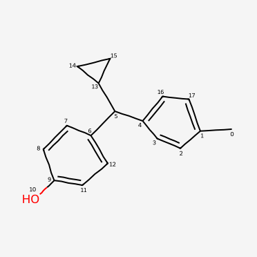 Cc1ccc(C(c2ccc(O)cc2)C2CC2)cc1